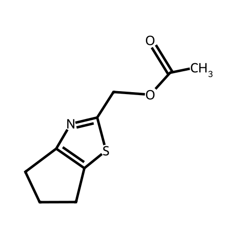 CC(=O)OCc1nc2c(s1)CCC2